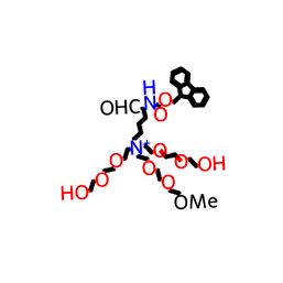 COCCOCCOCC[N+](CCCC[C@@H](C=O)NC(=O)OCC1c2ccccc2-c2ccccc21)(CCOCCOCCO)CCOCCOCCO